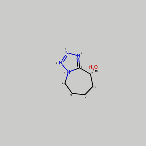 C1CCc2nnnn2CC1.O